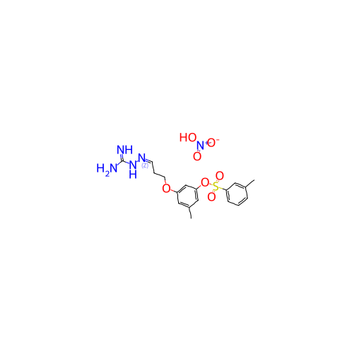 Cc1cc(OCC/C=N\NC(=N)N)cc(OS(=O)(=O)c2cccc(C)c2)c1.O=[N+]([O-])O